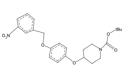 CC(C)(C)OC(=O)N1CCC(Oc2ccc(OCc3cccc([N+](=O)[O-])c3)cc2)CC1